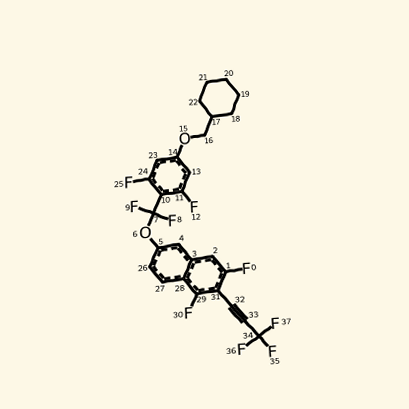 Fc1cc2cc(OC(F)(F)c3c(F)cc(OCC4CCCCC4)cc3F)ccc2c(F)c1C#CC(F)(F)F